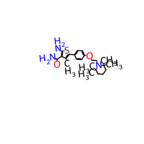 Cc1c(-c2ccc(OCCN3C(C)(C)CCCC3(C)C)cc2)sc(N)c1C(N)=O